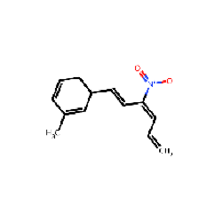 C=C/C=C(\C=CC1C=C(C)C=CC1)[N+](=O)[O-]